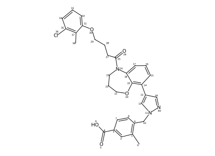 Cc1cc(C(=O)O)ccc1Cn1cc(-c2cccc3c2OCCCN3C(=O)CCCOc2cccc(Cl)c2C)cn1